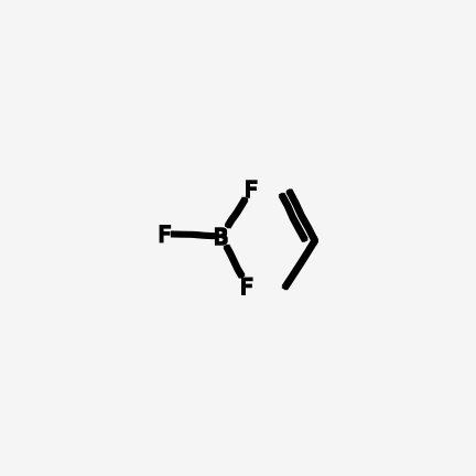 C=CC.FB(F)F